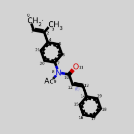 [CH2]C=C(C)c1ccc(N(C(C)=O)C(=O)/C=C/c2ccccc2)cc1